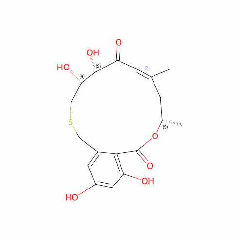 C/C1=C/C(=O)[C@@H](O)[C@@H](O)CSCc2cc(O)cc(O)c2C(=O)O[C@@H](C)C1